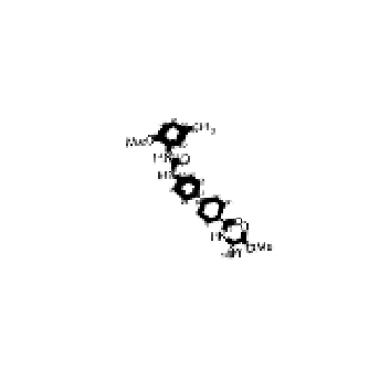 COC(=O)[C@@H](NC(=O)[C@H]1CC[C@H](c2ccc(NC(=O)Nc3cc(C)ccc3OC)cc2)CC1)C(C)C